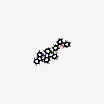 CC1(C)c2ccccc2-c2cccc(N3c4ccccc4B4c5ccccc5N(c5ccc(-c6cccc7c6oc6ccccc67)cc5)c5cccc3c54)c21